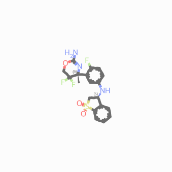 C[C@]1(c2cc(N[C@@H]3CS(=O)(=O)c4ccccc43)ccc2F)N=C(N)OCC1(F)F